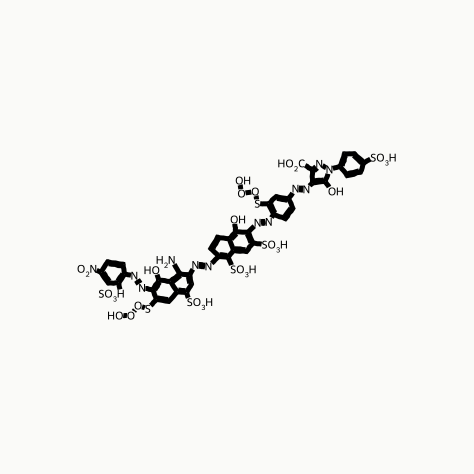 Nc1c(N=Nc2ccc3c(O)c(N=Nc4ccc(N=Nc5c(C(=O)O)nn(-c6ccc(S(=O)(=O)O)cc6)c5O)cc4SOOO)c(S(=O)(=O)O)cc3c2S(=O)(=O)O)cc(S(=O)(=O)O)c2cc(SOOO)c(N=Nc3ccc([N+](=O)[O-])cc3S(=O)(=O)O)c(O)c12